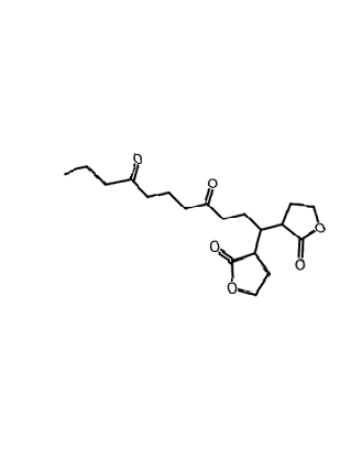 CCCC(=O)CCCC(=O)CCC(C1CCOC1=O)C1CCOC1=O